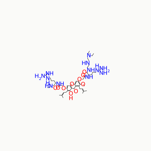 CCNC(=O)C(CCCNC(=N)N)NC(=O)COc1cc2oc3cc(OCC(=O)NC(CCCNC(=N)N)C(=O)NCCNCCN(CC)CC)c(OC)c(CC=C(C)C)c3c(=O)c2c(O)c1CC=C(C)C